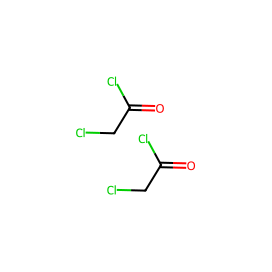 O=C(Cl)CCl.O=C(Cl)CCl